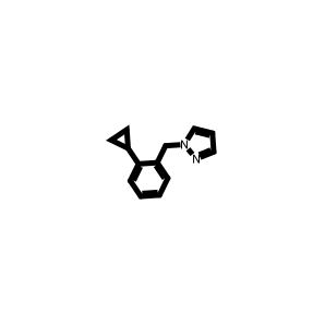 c1ccc(C2CC2)c(Cn2cccn2)c1